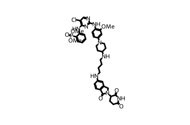 COc1cc(N2CCC(NCCCCNc3ccc4c(c3)CN(C3CCC(=O)NC3=O)C4=O)CC2)ccc1Nc1ncc(Cl)c(Nc2ccccc2P(=O)(OC)OC)n1